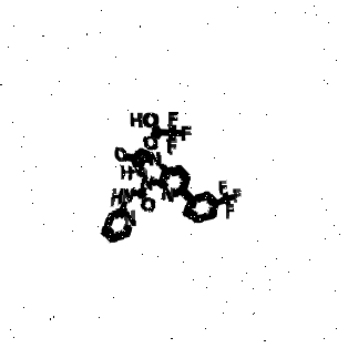 O=C(O)C(F)(F)F.O=C1CN2C[C@H]1N(C(=O)Nc1ccccn1)c1nc(-c3cccc(C(F)(F)F)c3)ccc12